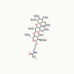 CC(=O)N[C@H]1[C@H](OCCCNC(=O)C(F)(F)F)O[C@H](COC(C)=O)[C@@H](O[C@@H]2O[C@H](COC(C)=O)[C@H](OC(C)=O)[C@H](O[C@H]3O[C@H](COC(C)=O)[C@H](OC(C)=O)[C@H](OC(C)=O)[C@H]3OC(C)=O)[C@H]2OC(C)=O)[C@@H]1OC(C)=O